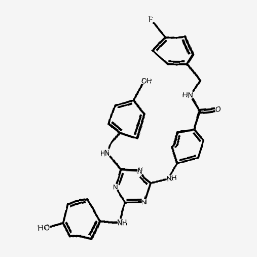 O=C(NCc1ccc(F)cc1)c1ccc(Nc2nc(Nc3ccc(O)cc3)nc(Nc3ccc(O)cc3)n2)cc1